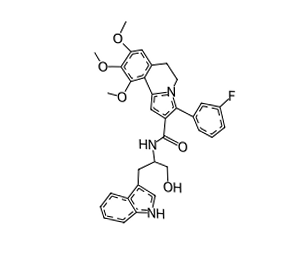 COc1cc2c(c(OC)c1OC)-c1cc(C(=O)NC(CO)Cc3c[nH]c4ccccc34)c(-c3cccc(F)c3)n1CC2